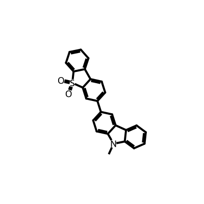 Cn1c2ccccc2c2cc(-c3ccc4c(c3)S(=O)(=O)c3ccccc3-4)ccc21